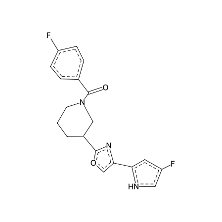 O=C(c1ccc(F)cc1)N1CCCC(c2nc(-c3cc(F)c[nH]3)co2)C1